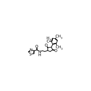 Cc1cc(C)c(C2C(=O)CC(CCNC(=O)c3cscn3)C2=O)c(C)c1